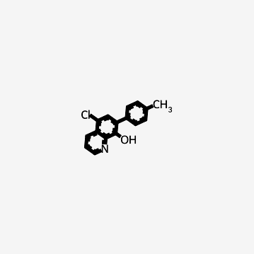 Cc1ccc(-c2cc(Cl)c3cccnc3c2O)cc1